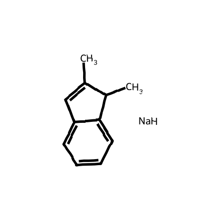 CC1=Cc2ccccc2C1C.[NaH]